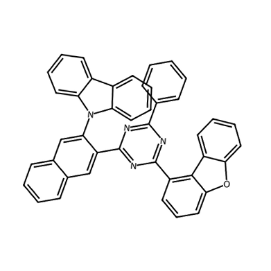 c1ccc(-c2nc(-c3cc4ccccc4cc3-n3c4ccccc4c4ccccc43)nc(-c3cccc4oc5ccccc5c34)n2)cc1